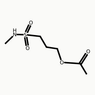 CNS(=O)(=O)CCCOC(C)=O